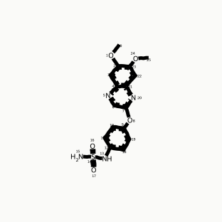 COc1cc2ncc(Oc3ccc(NS(N)(=O)=O)cc3)nc2cc1OC